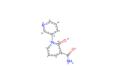 NC(=O)c1cccn(-c2cccnc2)c1=O